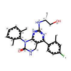 Cc1cc(F)ccc1-c1nc(N[C@H](C)CO)nc2c1CNC(=O)N2c1c(C)cccc1C